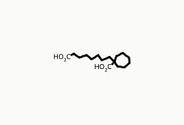 O=C(O)CCCCCCCC1(C(=O)O)CCCCCC1